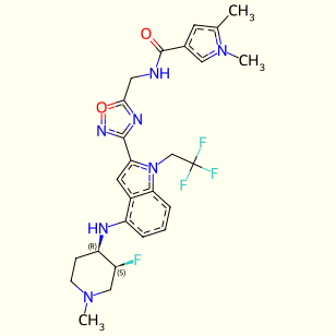 Cc1cc(C(=O)NCc2nc(-c3cc4c(N[C@@H]5CCN(C)C[C@@H]5F)cccc4n3CC(F)(F)F)no2)cn1C